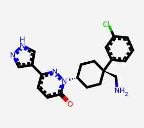 NC[C@]1(c2cccc(Cl)c2)CC[C@@H](n2nc(-c3cn[nH]c3)ccc2=O)CC1